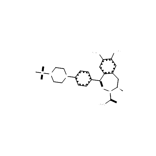 CC[C@@H]1Cc2cc(OC)c(OC)cc2C(c2ccc(N3CCN(S(C)(=O)=O)CC3)cc2)=NN1C(=O)NC